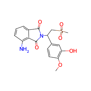 COc1ccc(C(CS(C)(=O)=O)N2C(=O)c3cccc(N)c3C2=O)cc1O